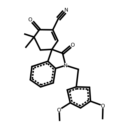 COc1cc(CN2C(=O)C3(C=C(C#N)C(=O)C(C)(C)C3)c3ccccc32)cc(OC)c1